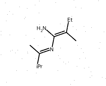 CC/C(C)=C(N)/N=C(\C)C(C)C